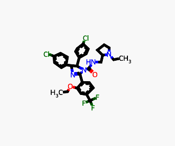 CCOc1cc(C(F)(F)F)ccc1C1=NC(c2ccc(Cl)cc2)C(c2ccc(Cl)cc2)N1C(=O)NCC1CCCN1CC